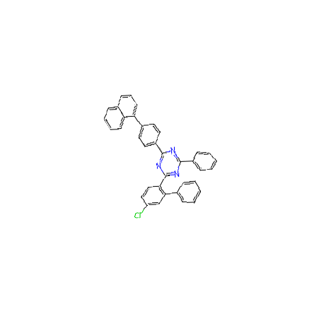 Clc1ccc(-c2nc(-c3ccccc3)nc(-c3ccc(-c4cccc5ccccc45)cc3)n2)c(-c2ccccc2)c1